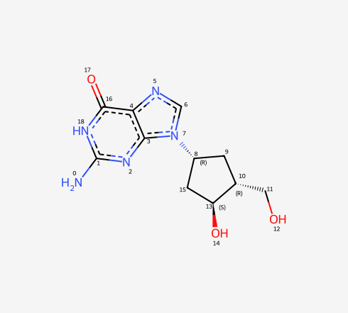 Nc1nc2c(ncn2[C@@H]2C[C@H](CO)[C@@H](O)C2)c(=O)[nH]1